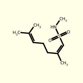 CNS(=O)(=O)/C=C(/C)CCC=C(C)C